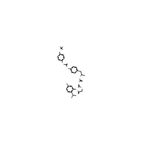 CC(Cc1ccc(NC(=O)Nc2ccc(OC(F)(F)F)cc2)cc1)NC(=O)/N=C1\SCC(=O)N1c1cc(Cl)ccc1C(C)C